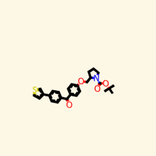 CC(C)(C)OC(=O)N1CCCC1COc1ccc(C(=O)c2ccc(-c3ccsc3)cc2)cc1